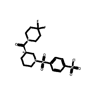 O=C([C@@H]1CCCN(S(=O)(=O)c2ccc(S(=O)(=O)Cl)cc2)C1)N1CCC(F)(F)CC1